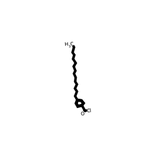 CCCCCCCCCCCCCCCc1ccc(C(=O)Cl)cc1